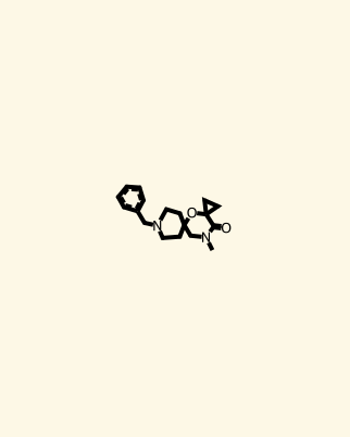 CN1CC2(CCN(Cc3ccccc3)CC2)OC2(CC2)C1=O